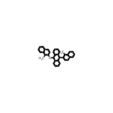 Cc1c(Oc2c3ccccc3c(-c3ccc4ccccc4c3C)c3ccccc23)ccc2ccccc12